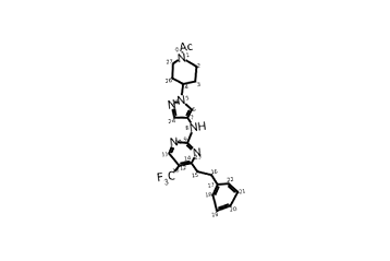 CC(=O)N1CCC(n2cc(Nc3ncc(C(F)(F)F)c(CCc4ccccc4)n3)cn2)CC1